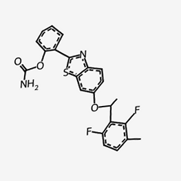 Cc1ccc(F)c(C(C)Oc2ccc3nc(-c4ccccc4OC(N)=O)sc3c2)c1F